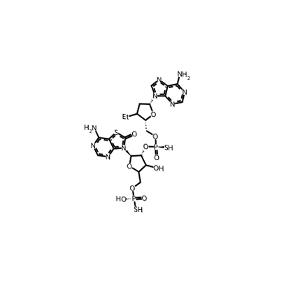 CCC1C[C@H](n2cnc3c(N)ncnc32)O[C@@H]1CO[P@@](=O)(S)O[C@@H]1C(O)C(CO[P@](=O)(O)S)O[C@H]1n1c(=O)sc2c(N)ncnc21